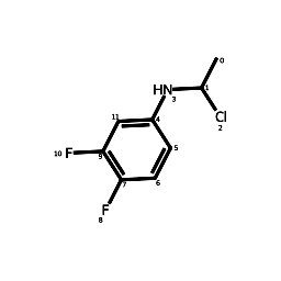 CC(Cl)Nc1ccc(F)c(F)c1